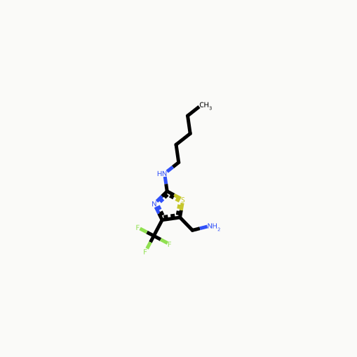 CCCCCNc1nc(C(F)(F)F)c(CN)s1